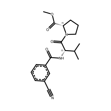 COC(=O)[C@@H]1CCCN1C(=O)[C@@H](NC(=O)c1cccc(C#N)c1)C(C)C